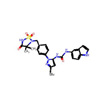 CC(C)(C)c1cc(NC(=O)Nc2ccc3[nH]ccc3c2)n(-c2ccc(CN3C(C)(C)C(=O)NS3(=O)=O)cc2)n1